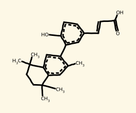 Cc1cc2c(cc1-c1cc(/C=C/C(=O)O)ccc1O)C(C)(C)CCC2(C)C